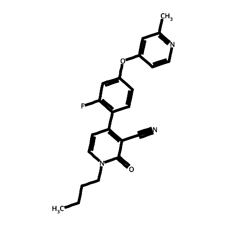 CCCCn1ccc(-c2ccc(Oc3ccnc(C)c3)cc2F)c(C#N)c1=O